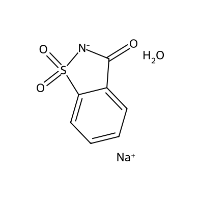 O.O=C1[N-]S(=O)(=O)c2ccccc21.[Na+]